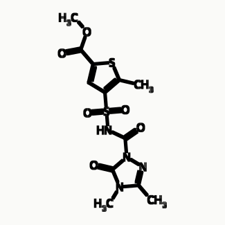 COC(=O)c1cc(S(=O)(=O)NC(=O)n2nc(C)n(C)c2=O)c(C)s1